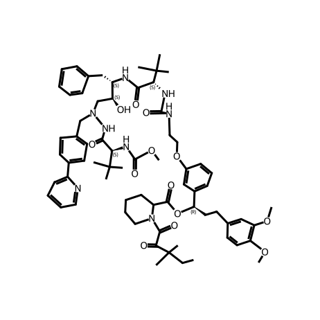 CCC(C)(C)C(=O)C(=O)N1CCCCC1C(=O)O[C@H](CCc1ccc(OC)c(OC)c1)c1cccc(OCCNC(=O)N[C@H](C(=O)N[C@@H](Cc2ccccc2)[C@@H](O)CN(Cc2ccc(-c3ccccn3)cc2)NC(=O)[C@@H](NC(=O)OC)C(C)(C)C)C(C)(C)C)c1